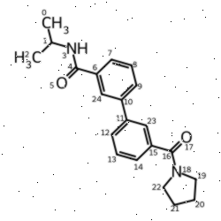 CC(C)NC(=O)c1cccc(-c2cccc(C(=O)N3CCCC3)c2)c1